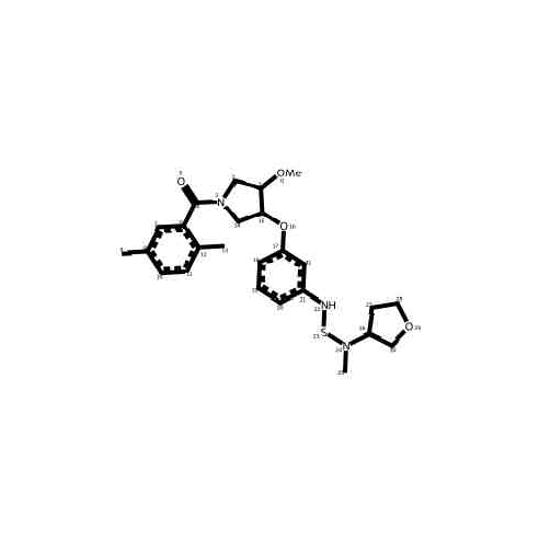 COC1CN(C(=O)c2cc(C)ccc2C)CC1Oc1cccc(NSN(C)C2CCOC2)c1